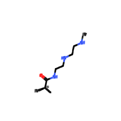 CC(C)NCCNCCNC(=O)[C@@H](C)C(C)C